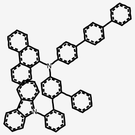 c1ccc(-c2ccc(-c3ccc(N(c4ccc(-c5ccccc5-n5c6ccccc6c6ccccc65)c(-c5ccccc5)c4)c4cc5ccccc5c5ccccc45)cc3)cc2)cc1